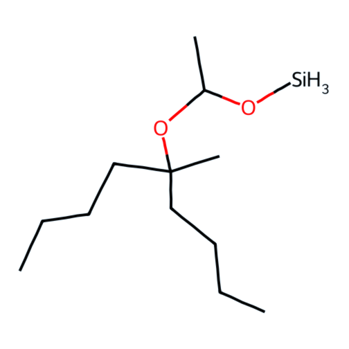 CCCCC(C)(CCCC)OC(C)O[SiH3]